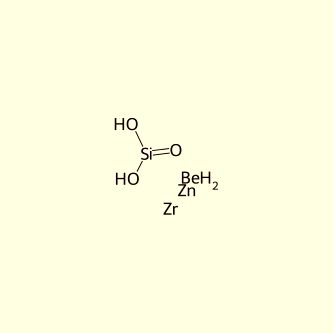 O=[Si](O)O.[BeH2].[Zn].[Zr]